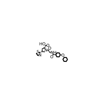 O=C(NCC(=O)N1C[C@H](c2nccs2)C[C@H]1C(=O)O)c1ccc(Oc2ccccc2)cc1